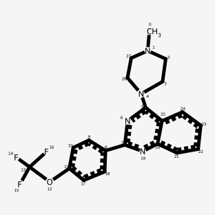 CN1CCN(c2nc(-c3ccc(OC(F)(F)F)cc3)nc3ccccc23)CC1